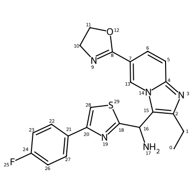 CCc1nc2ccc(C3=NCCO3)cn2c1C(N)c1nc(-c2ccc(F)cc2)cs1